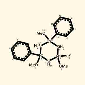 CCC[N+]1(OC)[SiH2][N+](OC)(c2ccccc2)[SiH2][N+](OC)(c2ccccc2)[SiH2]1